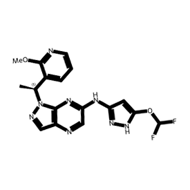 COc1ncccc1[C@H](C)n1ncc2ncc(Nc3cc(OC(F)F)[nH]n3)nc21